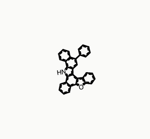 c1ccc(-c2cc3c([nH]c4c5ccccc5c5oc6ccccc6c5c34)c3ccccc23)cc1